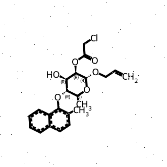 C=CCO[C@@H]1O[C@@H](C)[C@H](Oc2c(C)ccc3ccccc23)[C@@H](O)[C@H]1OC(=O)CCl